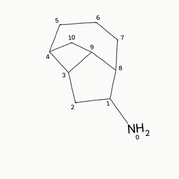 NC1CC2C3CCCC1C2C3